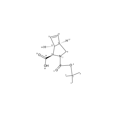 CC(C)(C)OC(=O)N1C[C@@H]2C=C[C@@H]2[C@@H]1C(=O)O